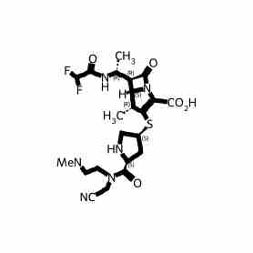 CNCCN(CC#N)C(=O)[C@@H]1C[C@H](SC2=C(C(=O)O)N3C(=O)[C@H]([C@@H](C)NC(=O)C(F)F)[C@H]3[C@H]2C)CN1